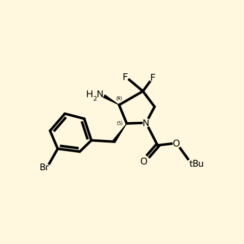 CC(C)(C)OC(=O)N1CC(F)(F)[C@H](N)[C@@H]1Cc1cccc(Br)c1